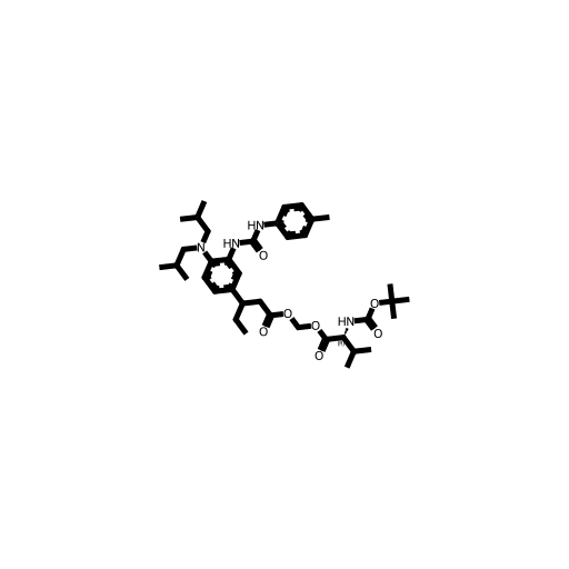 CCC(CC(=O)OCOC(=O)[C@H](NC(=O)OC(C)(C)C)C(C)C)c1ccc(N(CC(C)C)CC(C)C)c(NC(=O)Nc2ccc(C)cc2)c1